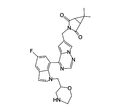 CC1(C)C2C(=O)N(Cc3cc4c(-c5cc(F)cc6ccn(CC7CNCCO7)c56)ncnn4c3)C(=O)C21